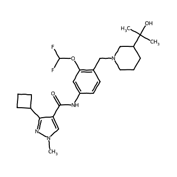 Cn1cc(C(=O)Nc2ccc(CN3CCCC(C(C)(C)O)C3)c(OC(F)F)c2)c(C2CCC2)n1